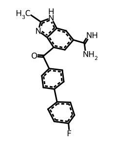 Cc1nc2c(C(=O)c3ccc(-c4ccc(F)cc4)cc3)cc(C(=N)N)cc2[nH]1